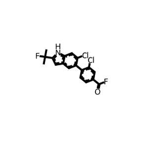 CC(C)(F)c1cc2cc(-c3ccc(C(=O)F)cc3Cl)c(Cl)cc2[nH]1